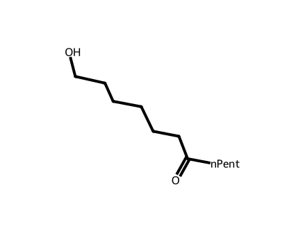 CCCCCC(=O)CCCCCCO